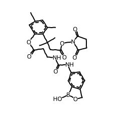 Cc1cc(C)c(C(C)(C)CC(=O)ON2C(=O)CCC2=O)c(OC(=O)CCNC(=O)Nc2ccc3c(c2)B(O)OC3)c1